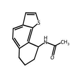 CC(=O)NC1CCCc2ccc3ccsc3c21